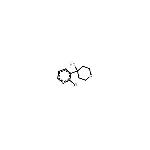 OC1(c2cccnc2Cl)CCOCC1